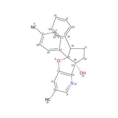 N#Cc1ccc(C23Oc4cc(C#N)cnc4[C@]2(O)CCC3c2ccccc2)cc1